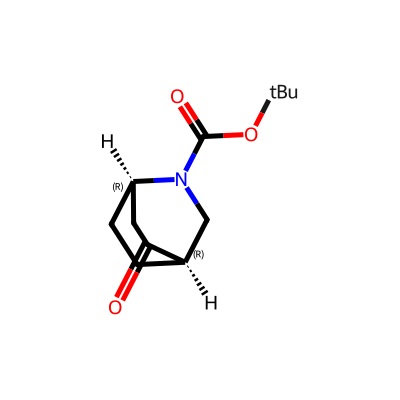 CC(C)(C)OC(=O)N1C[C@H]2CC[C@@H]1CC2=O